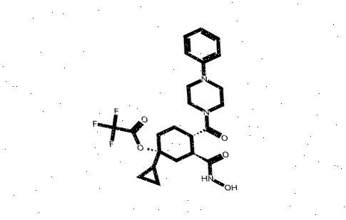 O=C(NO)[C@H]1C[C@@](OC(=O)C(F)(F)F)(C2CC2)CC[C@@H]1C(=O)N1CCN(c2ccccc2)CC1